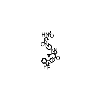 CC(=O)NC1CN(C(=O)N2CCC(n3ncc(C(=O)N4CC[C@@H](c5ccccc5C(F)(F)F)C4)c3C3CC3)CC2)C1